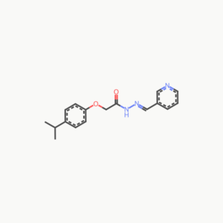 CC(C)c1ccc(OCC(=O)N/N=C/c2cccnc2)cc1